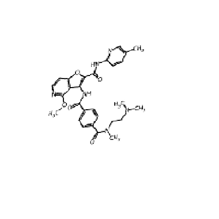 COc1nccc2oc(C(=O)Nc3ccc(C)cn3)c(NC(=O)c3ccc(C(=O)N(C)CCN(C)C)cc3)c12